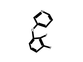 Fc1cccc(Oc2c[c]cnc2)c1F